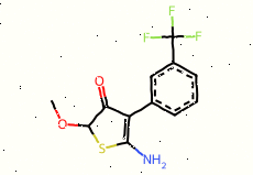 COC1SC(N)=C(c2cccc(C(F)(F)F)c2)C1=O